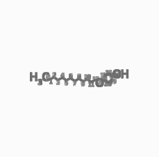 CCCCCCCCCCCCCOc1ccc(O)cc1